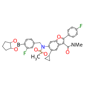 CNC(=O)c1c(-c2ccc(F)cc2)oc2cc(N(Cc3ccc(B4OC5CCCC5O4)c(F)c3)S(C)(=O)=O)c(C3CC3)cc12